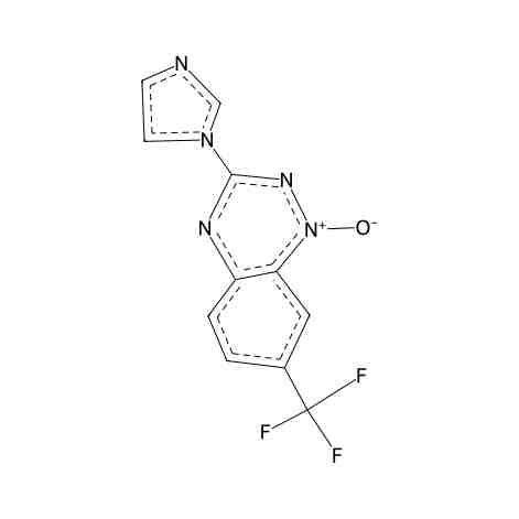 [O-][n+]1nc(-n2ccnc2)nc2ccc(C(F)(F)F)cc21